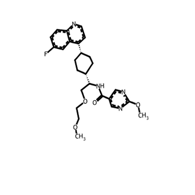 COCCOCC(NC(=O)c1cnc(OC)nc1)[C@H]1CC[C@@H](c2ccnc3ccc(F)cc32)CC1